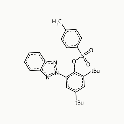 Cc1ccc(S(=O)(=O)Oc2c(-n3nc4ccccc4n3)cc(C(C)(C)C)cc2C(C)(C)C)cc1